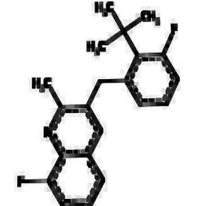 Cc1nc2c(F)cccc2cc1Cc1cccc(F)c1C(C)(C)C